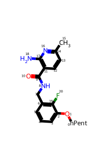 CCCCCOc1cccc(CNC(=O)c2ccc(C)nc2N)c1F